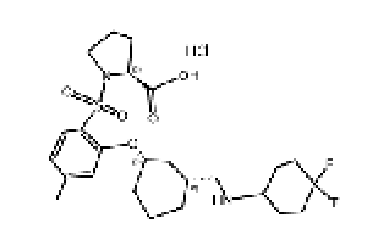 Cc1ccc(S(=O)(=O)N2CCC[C@H]2C(=O)O)c(O[C@H]2CCC[C@@H](CNC3CCC(F)(F)CC3)C2)c1.Cl